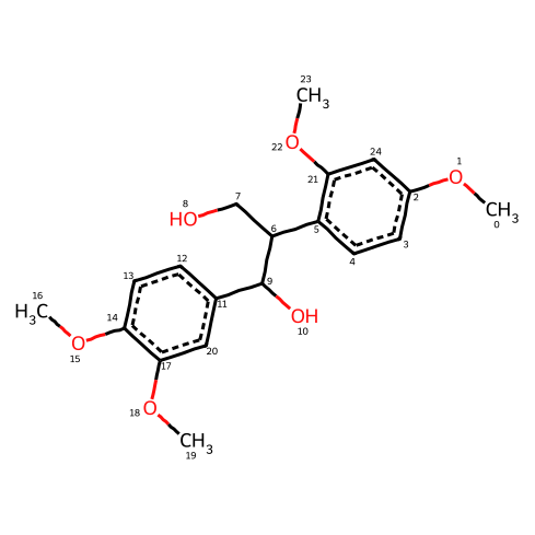 COc1ccc(C(CO)C(O)c2ccc(OC)c(OC)c2)c(OC)c1